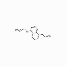 CCOC(=O)COc1cccc2c1CCCC2CCO